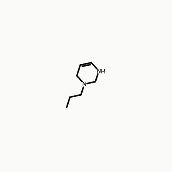 CCCN1CC=CNC1